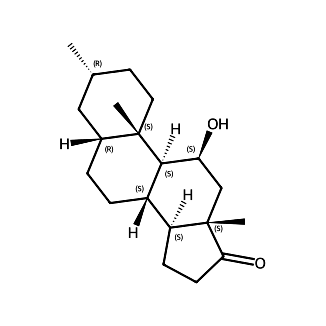 C[C@@H]1CC[C@@]2(C)[C@H](CC[C@@H]3[C@@H]2[C@@H](O)C[C@]2(C)C(=O)CC[C@@H]32)C1